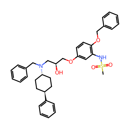 CS(=O)(=O)Nc1cc(OC[C@@H](O)CN(Cc2ccccc2)[C@H]2CC[C@H](c3ccccc3)CC2)ccc1OCc1ccccc1